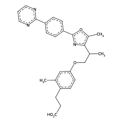 Cc1cc(OCC(C)c2nc(-c3ccc(-c4ncccn4)cc3)oc2C)ccc1CCC(=O)O